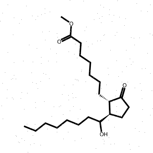 CCCCCCCC(O)[C@@H]1CCC(=O)[C@H]1CCCCCCC(=O)OC